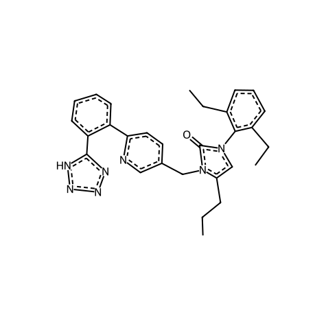 CCCc1cn(-c2c(CC)cccc2CC)c(=O)n1Cc1ccc(-c2ccccc2-c2nnn[nH]2)nc1